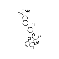 COC(=O)c1ccc2c(c1)CCC(c1ccc(OCc3c(-c4c(Cl)cccc4Cl)noc3C3CC3)cc1Cl)C2